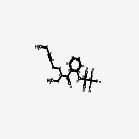 C=CC#CCCC(CC)C(=O)c1ccccc1OS(=O)(=O)C(F)(F)F